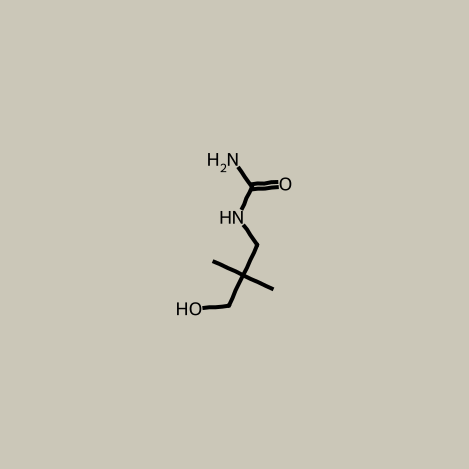 CC(C)(CO)CNC(N)=O